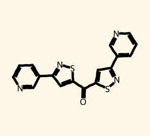 O=C(c1cc(-c2cccnc2)ns1)c1cc(-c2cccnc2)ns1